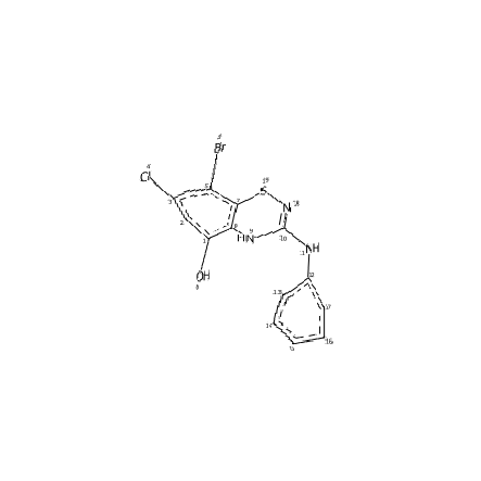 Oc1cc(Cl)c(Br)c2c1NC(Nc1ccccc1)=NS2